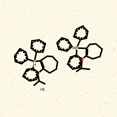 CC(C)OC1=C([PH](c2ccccc2)(c2ccccc2)c2ccccc2)CCCCC1.CC(C)OC1=C([PH](c2ccccc2)(c2ccccc2)c2ccccc2)CCCCC1.I